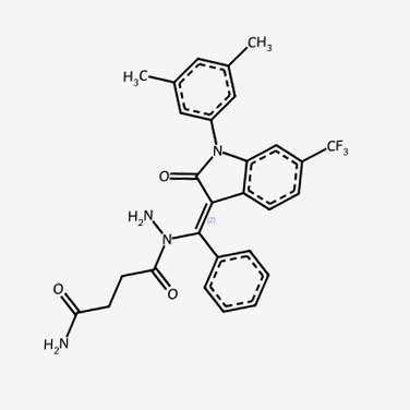 Cc1cc(C)cc(N2C(=O)/C(=C(/c3ccccc3)N(N)C(=O)CCC(N)=O)c3ccc(C(F)(F)F)cc32)c1